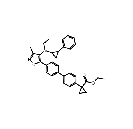 CCOC(=O)C1(c2ccc(-c3ccc(-c4onc(C)c4N(CC)C4CC4c4ccccc4)cc3)cc2)CC1